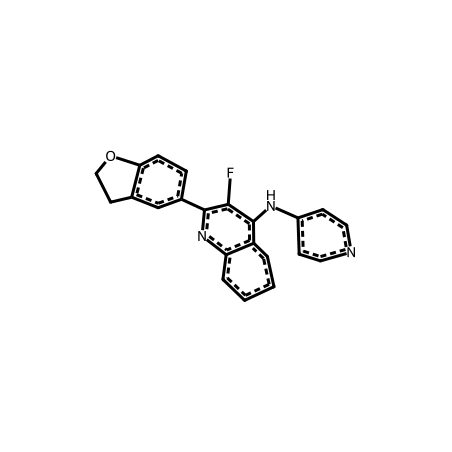 Fc1c(-c2ccc3c(c2)CCO3)nc2ccccc2c1Nc1ccncc1